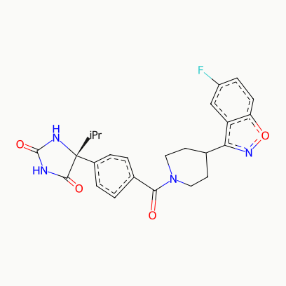 CC(C)[C@]1(c2ccc(C(=O)N3CCC(c4noc5ccc(F)cc45)CC3)cc2)NC(=O)NC1=O